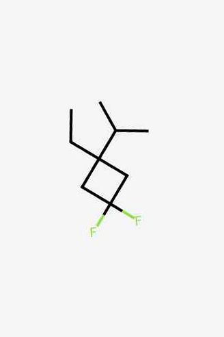 CCC1(C(C)C)CC(F)(F)C1